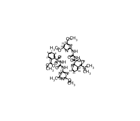 COC(=O)c1ccccc1S(=O)(=O)NC(=O)Nc1nc(C)nc(OC)n1.COc1cc(OC)nc(NC(=O)NS(=O)(=O)c2ncccc2C(=O)N(C)C)n1